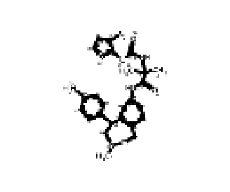 CN1CCc2ccc(NC(=O)C(C)(C)NC(=O)Oc3sccc3Cl)cc2C(c2ccc(N)cc2)C1